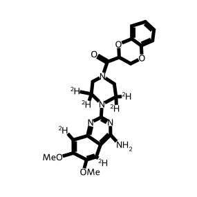 [2H]c1c(OC)c(OC)c([2H])c2c(N)nc(N3C([2H])([2H])CN(C(=O)C4COc5ccccc5O4)CC3([2H])[2H])nc12